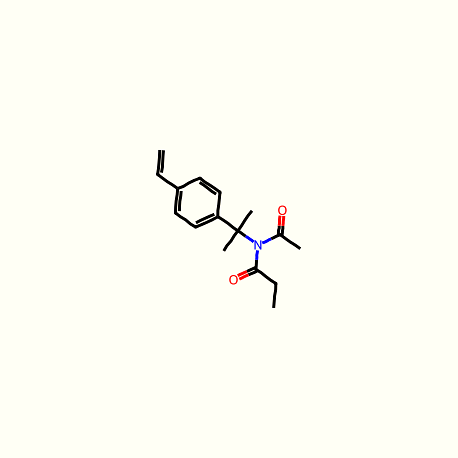 C=Cc1ccc(C(C)(C)N(C(C)=O)C(=O)CC)cc1